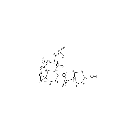 COC1C(OC(=O)N2CCC(O)CC2)CCC2(CO2)C1C1(C)OC1CC=C(C)C